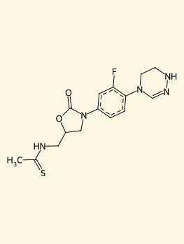 CC(=S)NCC1CN(c2ccc(N3C=NNCC3)c(F)c2)C(=O)O1